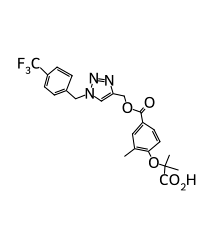 Cc1cc(C(=O)OCc2cn(Cc3ccc(C(F)(F)F)cc3)nn2)ccc1OC(C)(C)C(=O)O